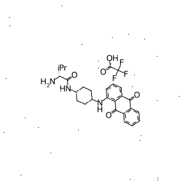 CC(C)[C@@H](N)C(=O)NC1CCC(Nc2cccc3c2C(=O)c2ccccc2C3=O)CC1.O=C(O)C(F)(F)F